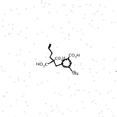 C=CCCC(Cc1cc(C(=O)O)cc(C(C)(C)C)c1)(C(=O)O)C(=O)O